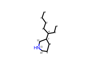 CCCCC(CC)C1CCCNC1